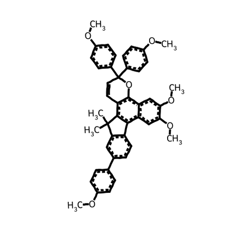 COc1ccc(-c2ccc3c(c2)C(C)(C)c2c4c(c5cc(OC)c(OC)cc5c2-3)OC(c2ccc(OC)cc2)(c2ccc(OC)cc2)C=C4)cc1